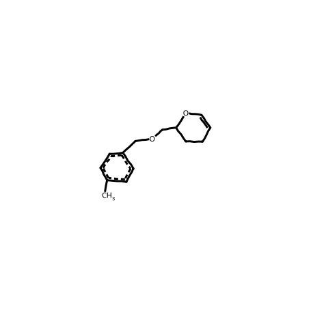 Cc1ccc(COCC2CCC=CO2)cc1